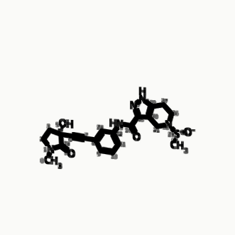 CN1CC[C@@](O)(C#Cc2cccc(NC(=O)c3n[nH]c4c3CN([S@@+](C)[O-])CC4)c2)C1=O